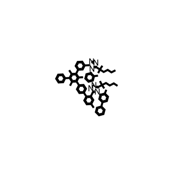 CCCCC(C)(C)c1nnc(-c2cccc(-c3c(C)c(-c4ccccc4)c(C)c(-c4ccc(-c5ccc(C)cc5-c5nnc(C(C)(C)CCCC)n5-c5cc(-c6ccccc6)ccc5C)cc4)c3C)c2)n1-c1ccccc1C